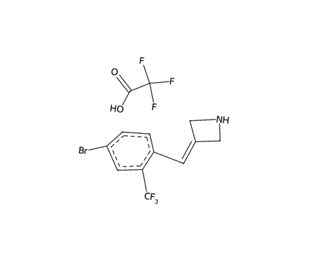 FC(F)(F)c1cc(Br)ccc1C=C1CNC1.O=C(O)C(F)(F)F